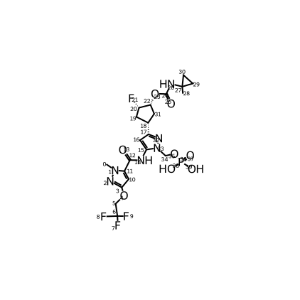 Cn1nc(OCC(F)(F)F)cc1C(=O)Nc1cc([C@@H]2C[C@H](F)[C@H](OC(=O)NC3(C)CC3)C2)nn1COP(=O)(O)O